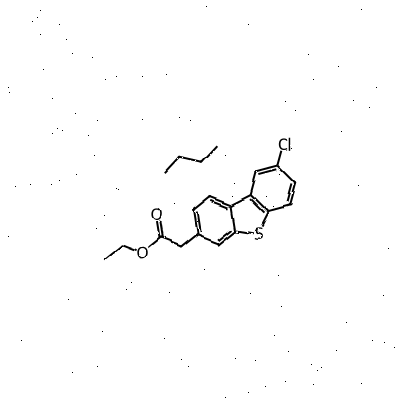 CCCC.CCOC(=O)Cc1ccc2c(c1)sc1ccc(Cl)cc12